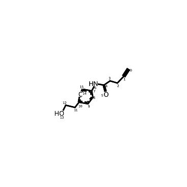 C#CCCC(=O)Nc1ccc(CCO)cc1